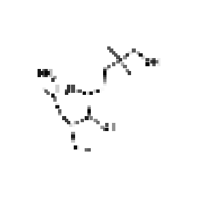 CCC(CCCN)C(O)C(N)CCC(C)(C)CO